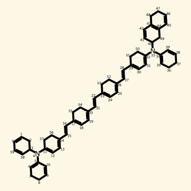 C1=CCC(N(C2=CCCC=C2)C2=CC=C(/C=C/C3=CC=C(/C=C/C4=CC=C(/C=C/C5=CC=C(N(C6=CCCC=C6)C6C=CC7=C(C=CCC7)C6)CC5)CC4)CC3)CC2)C=C1